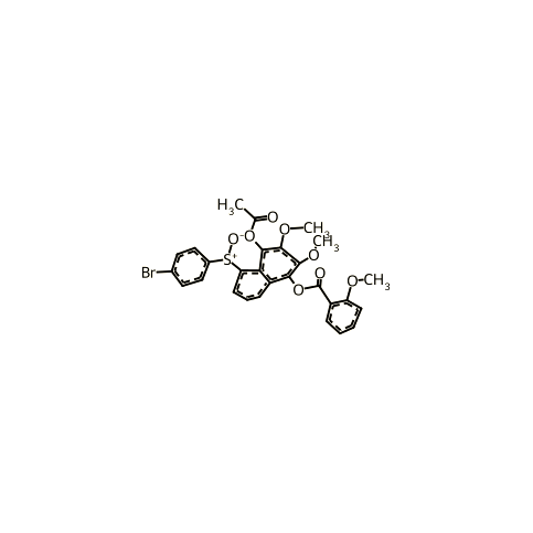 COc1ccccc1C(=O)Oc1c(OC)c(OC)c(OC(C)=O)c2c([S+]([O-])c3ccc(Br)cc3)cccc12